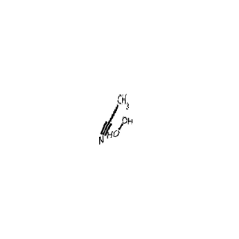 CC#N.OO